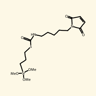 CO[Si](CCCSC(=O)NCCCCCN1C(=O)C=CC1=O)(OC)OC